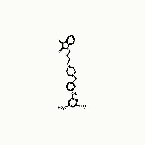 Cc1cc(C(=O)O)cc(C(=O)O)c1.O=C1C(=O)N(CCCCN2CCN(Cc3ccccc3)CC2)c2ccccc21